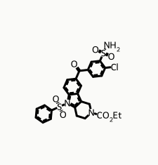 CCOC(=O)N1CCc2c(c3cc(C(=O)c4ccc(Cl)c(S(N)(=O)=O)c4)ccc3n2S(=O)(=O)c2ccccc2)C1